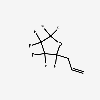 C=CCC1(F)OC(F)(F)C(F)(F)C1(F)F